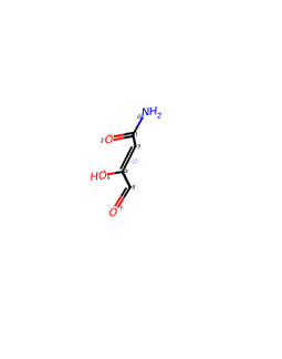 NC(=O)/C=C(\O)C=O